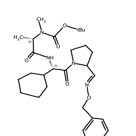 C[C@@H](C(=O)N[C@H](C(=O)N1CCCC1C=NOCc1ccccc1)C1CCCCC1)N(C)C(=O)OC(C)(C)C